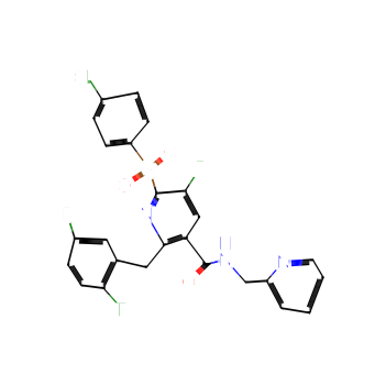 O=C(NCc1ccccn1)c1cc(F)c(S(=O)(=O)c2ccc(Cl)cc2)nc1Cc1cc(F)ccc1F